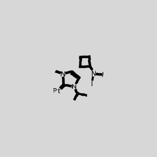 CC(C)n1ccn(C)[c]1=[Pt].IN(I)C1CCC1